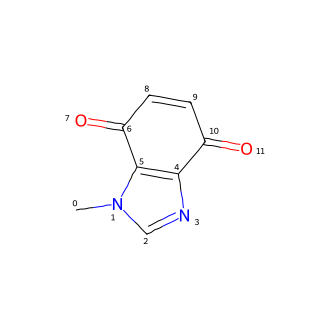 Cn1cnc2c1C(=O)C=CC2=O